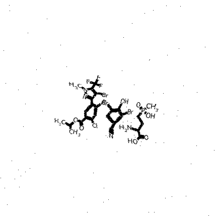 CC(C)OC(=O)c1cc(-c2nn(C)c(C(F)(F)F)c2Br)c(F)cc1Cl.CP(=O)(O)CCC(N)C(=O)O.N#Cc1cc(Br)c(O)c(Br)c1